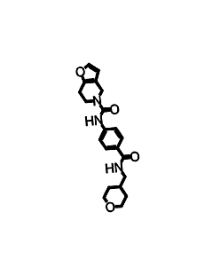 O=C(NCC1CCOCC1)c1ccc(NC(=O)N2CCc3occc3C2)cc1